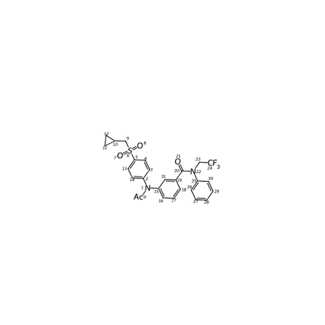 CC(=O)N(c1ccc(S(=O)(=O)CC2CC2)cc1)c1cccc(C(=O)N(CC(F)(F)F)c2ccccc2)c1